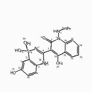 CCCNn1c(=O)c(C2=NS(O)(O)c3cc(O)ccc3N2)c(O)c2ccccc21